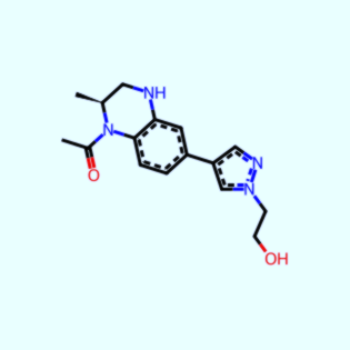 CC(=O)N1c2ccc(-c3cnn(CCO)c3)cc2NC[C@@H]1C